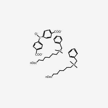 CCCCCCCCCCCCCCCC[N+](C)(C)Cc1ccccc1.CCCCCCCCCCCCCCCC[N+](C)(C)Cc1ccccc1.O=C([O-])c1ccc([S+]([O-])c2ccc(C(=O)[O-])cc2)cc1